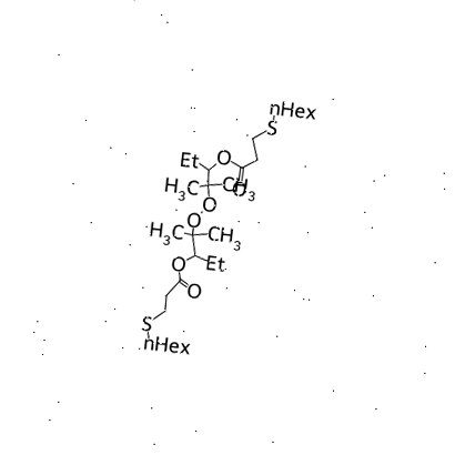 CCCCCCSCCC(=O)OC(CC)C(C)(C)OOC(C)(C)C(CC)OC(=O)CCSCCCCCC